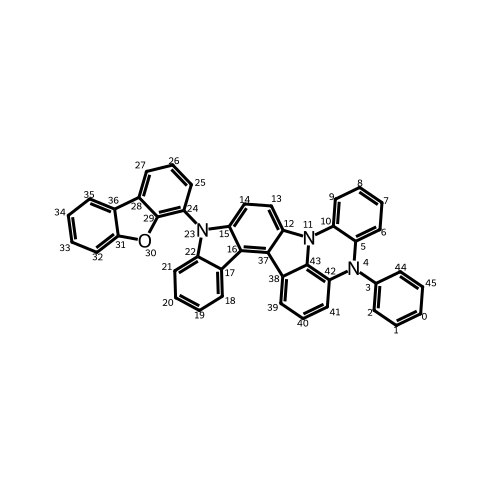 c1ccc(N2c3ccccc3-n3c4ccc5c(c6ccccc6n5-c5cccc6c5oc5ccccc56)c4c4cccc2c43)cc1